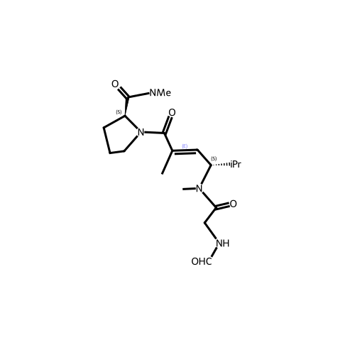 CNC(=O)[C@@H]1CCCN1C(=O)/C(C)=C/[C@H](C(C)C)N(C)C(=O)CNC=O